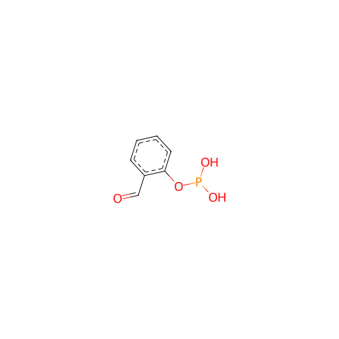 O=Cc1ccccc1OP(O)O